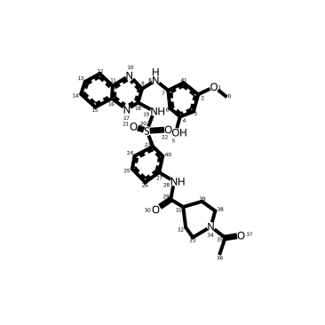 COc1cc(O)cc(Nc2nc3ccccc3nc2NS(=O)(=O)c2cccc(NC(=O)C3CCN(C(C)=O)CC3)c2)c1